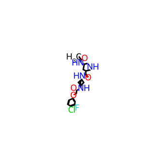 CC(=O)NC1CNCC(C(=O)NC23CC(NC(=O)COc4ccc(Cl)c(F)c4)(C2)C3)C1